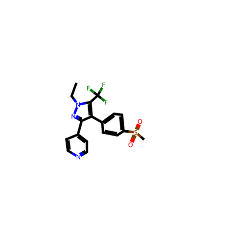 CCn1nc(-c2ccncc2)c(-c2ccc(S(C)(=O)=O)cc2)c1C(F)(F)F